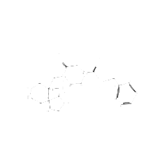 O=C1CN(C(=O)OCc2ccccc2)CCN1CC1(O)CCNCC12CCCC2